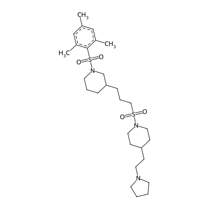 Cc1cc(C)c(S(=O)(=O)N2CCCC(CCCS(=O)(=O)N3CCC(CCN4CCCC4)CC3)C2)c(C)c1